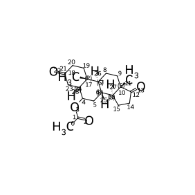 CC(=O)OC1C[C@@H]2[C@H](CC[C@]3(C)C(=O)CC[C@@H]23)[C@@]2(C)CCC(=O)C[C@H]12